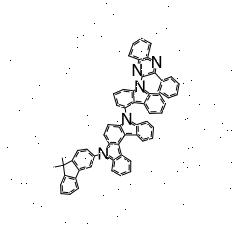 CC1(C)c2ccccc2-c2cc(-n3c4ccccc4c4c5c6ccccc6n(-c6cccc7c6c6ccccc6n7-c6nc7ccccc7nc6-c6ccccc6)c5ccc43)ccc21